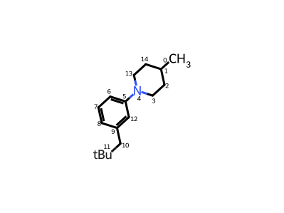 CC1CCN(c2cccc(CC(C)(C)C)c2)CC1